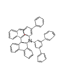 c1ccc(-c2cccc(N(c3cc(-c4ccccc4)cc(-c4ccccc4)c3)c3c(-c4cccc5ccccc45)c4ccccc4c4ccccc34)c2)cc1